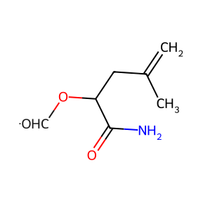 C=C(C)CC(O[C]=O)C(N)=O